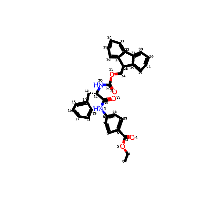 CCOC(=O)c1ccc(NC(=O)[C@H](Cc2ccccc2)NC(=O)OCC2c3ccccc3-c3ccccc32)cc1